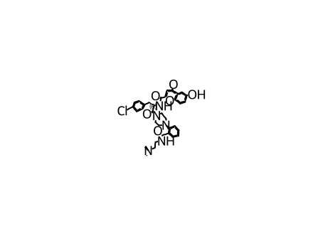 CN(C)CCNC(=O)c1ccccc1N1CCN(C(=O)[C@@H](Cc2ccc(Cl)cc2)NC(=O)c2cc(=O)c3cc(O)ccc3o2)CC1